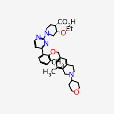 CCO[C@@H]1CN(c2nccc(-c3cccc(C)c3OCc3cc(C)c4c(c3)CCN(C3CCOCC3)C4)n2)CC[C@@H]1C(=O)O